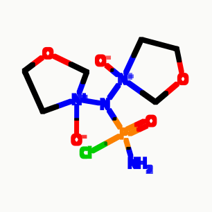 NP(=O)(Cl)N([N+]1([O-])CCOC1)[N+]1([O-])CCOC1